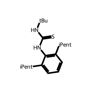 CCCC(C)c1cccc(C(C)CCC)c1NC(=S)NC(C)(C)C